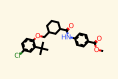 COC(=O)c1ccc(NC(=O)C2CCCC(COc3ccc(Cl)cc3C(C)(C)C)C2)cc1